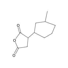 CC1CCCC(C2CC(=O)OC2=O)C1